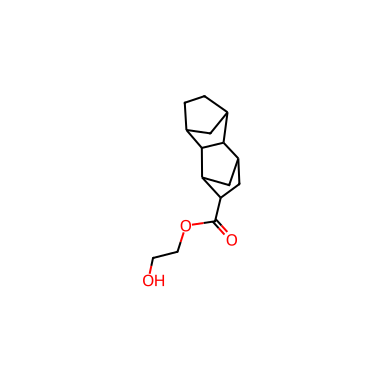 O=C(OCCO)C1CC2CC1C1C3CCC(C3)C21